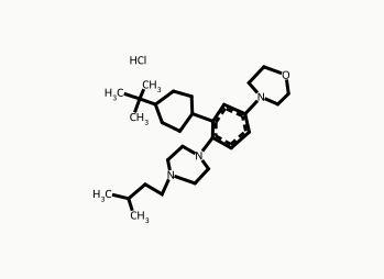 CC(C)CCN1CCN(c2ccc(N3CCOCC3)cc2C2CCC(C(C)(C)C)CC2)CC1.Cl